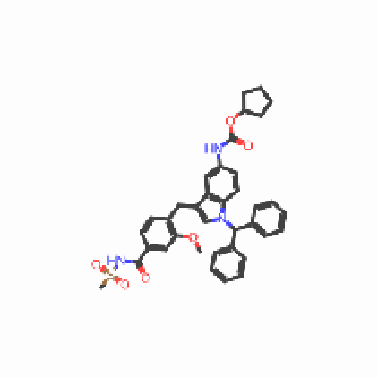 COc1cc(C(=O)NS(C)(=O)=O)ccc1Cc1cn(C(c2ccccc2)c2ccccc2)c2ccc(NC(=O)OC3CCCC3)cc12